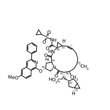 COc1ccc2c(O[C@@H]3C[C@H]4C(=O)N[C@]5(C(=O)NS(=O)(=O)C6CC6)C[C@H]5/C=C\CC[C@H](C)C[C@@H](C)[C@H](N(C(=O)O)[C@H]5CC6C[C@H]6C5)C(=O)N4C3)nc(-c3ccccc3)cc2c1